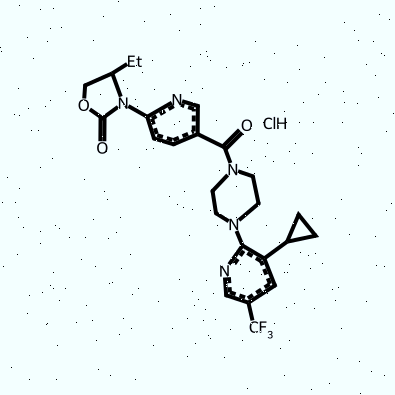 CCC1COC(=O)N1c1ccc(C(=O)N2CCN(c3ncc(C(F)(F)F)cc3C3CC3)CC2)cn1.Cl